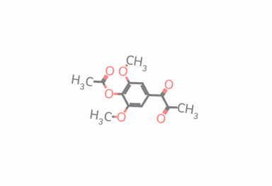 COc1cc(C(=O)C(C)=O)cc(OC)c1OC(C)=O